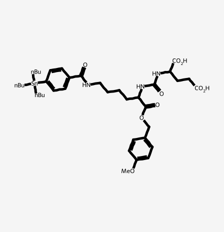 CCC[CH2][Sn]([CH2]CCC)([CH2]CCC)[c]1ccc(C(=O)NCCCCC(NC(=O)NC(CCC(=O)O)C(=O)O)C(=O)OCc2ccc(OC)cc2)cc1